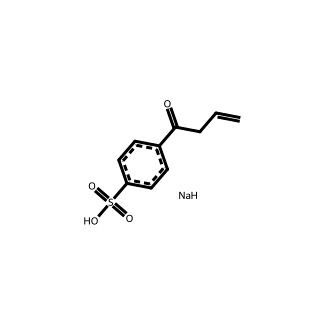 C=CCC(=O)c1ccc(S(=O)(=O)O)cc1.[NaH]